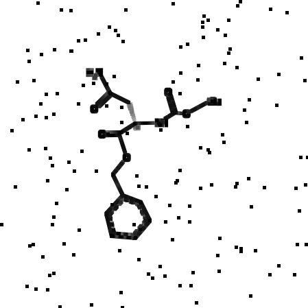 CC(C)(C)OC(=O)N[C@@H](CC(N)=O)C(=O)OCc1ccccc1